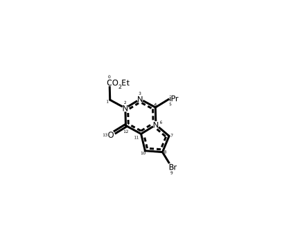 CCOC(=O)Cn1nc(C(C)C)n2cc(Br)cc2c1=O